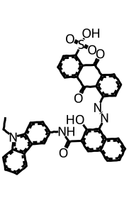 CCn1c2ccccc2c2cc(NC(=O)c3cc4ccccc4c(/N=N/c4cccc5c4C(=O)c4cccc(S(=O)(=O)O)c4C5=O)c3O)ccc21